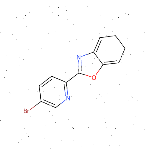 Brc1ccc(-c2nc3c(o2)=CCCC=3)nc1